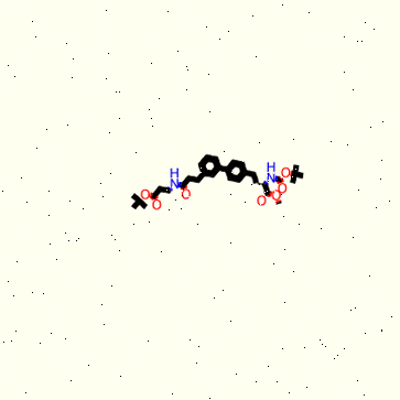 COC(=O)[C@H](CCc1ccc(-c2cccc(CCC(=O)NCCC(=O)OC(C)(C)C)c2)cc1)NC(=O)OC(C)(C)C